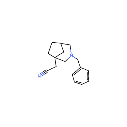 N#CCC12CCC(CN(Cc3ccccc3)C1)C2